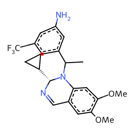 COc1cc2c(cc1OC)N(C(C)c1cc(N)cc(C(F)(F)F)c1)[C@@H](C1CC1)N=C2